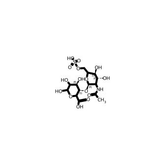 CC(=O)NC1[C@@H](O[C@@H]2C(C(=O)O)OC(O)C(O)[C@H]2O)OC(COS(=O)(=O)O)[C@@H](O)[C@@H]1O